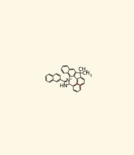 CC1(C)c2ccccc2-c2c1cc1ccccc1c2[N+]1=C(c2ccc3ccccc3c2)NC1c1ccccc1